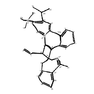 C=CC1C2C(c3ccccc3-c3cc(C(C)C)c([Si](C)(C)C)c[n+]32)C12Cc1ccccc1C(C)=N2